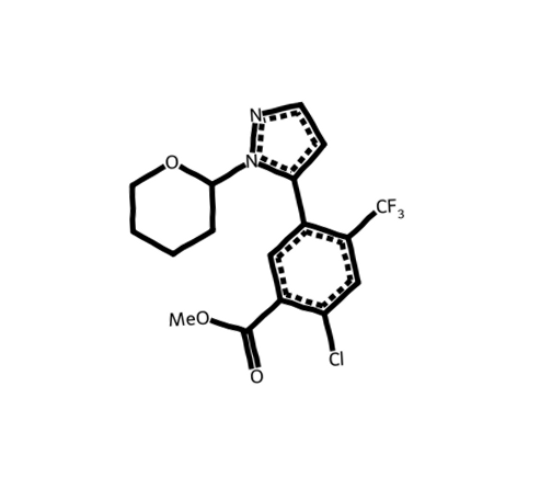 COC(=O)c1cc(-c2ccnn2C2CCCCO2)c(C(F)(F)F)cc1Cl